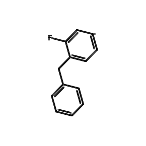 Fc1c[c]ccc1Cc1ccccc1